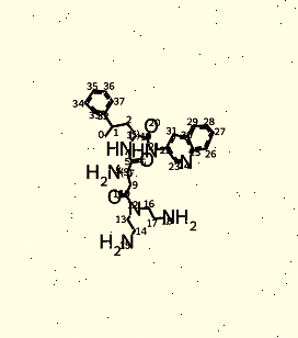 CC(C[C@H](NC(=O)[C@@H](N)CC(=O)N(CCN)CCN)C(=O)Nc1cnc2ccccc2c1)c1ccccc1